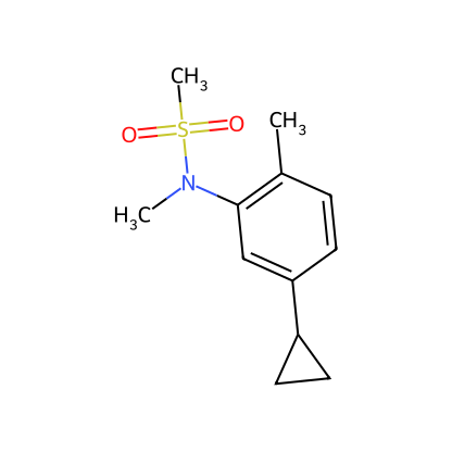 Cc1ccc(C2CC2)cc1N(C)S(C)(=O)=O